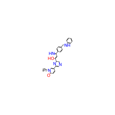 CC(C)n1cc(-c2cncc(/C(O)=C/C(=N)c3ccc(CNc4ccccc4)cc3)n2)ccc1=O